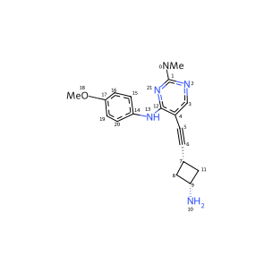 CNc1ncc(C#C[C@H]2C[C@@H](N)C2)c(Nc2ccc(OC)cc2)n1